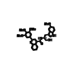 COc1ccc2[nH]cc(C[C@@H](CO)NC(=O)c3cc(-c4cc(OC)c(OC)c(OC)c4)nc4ccccc34)c2c1